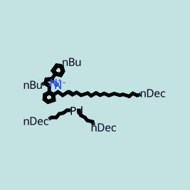 CCCCCCCCCCCCCCCCCCCCCCCCC=CCCc1ccccc1C1=C(CCCC)C=C(c2ccc(CCCC)cc2)[N+]1=[N-].CCCCCCCCCCCCCC[CH2][Pd][CH2]CCCCCCCCCCCCCC